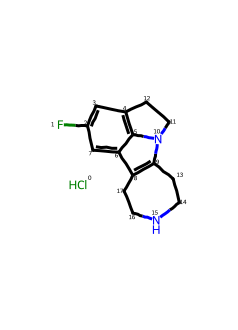 Cl.Fc1cc2c3c(c1)c1c(n3CC2)CCNCC1